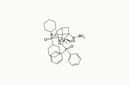 BBC12CC(C[C@@H](P(=O)(C3CCCCC3)C3CCCCC3)[C@H]1CP(=O)(c1ccccc1)c1ccccc1)C2(C)C